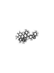 CC1(C)c2cccc(-c3c4ccccc4c(-c4ccc5oc6ccccc6c5c4)c4ccccc34)c2-c2c1ccc1ccccc21